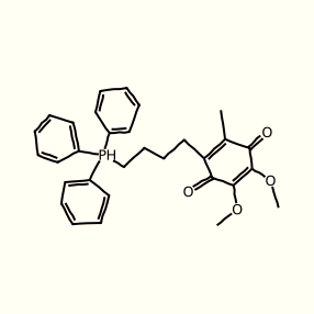 COC1=C(OC)C(=O)C(CCCC[PH](c2ccccc2)(c2ccccc2)c2ccccc2)=C(C)C1=O